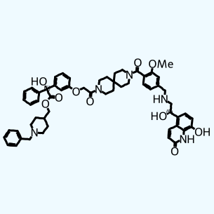 COc1cc(CNC[C@H](O)c2ccc(O)c3[nH]c(=O)ccc23)ccc1C(=O)N1CCC2(CCN(C(=O)COc3cccc([C@](O)(C(=O)OCC4CCN(Cc5ccccc5)CC4)c4ccccc4)c3)CC2)CC1